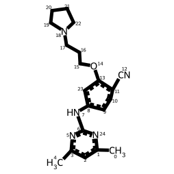 Cc1cc(C)nc(Nc2ccc(C#N)c(OCCCN3CCCC3)c2)n1